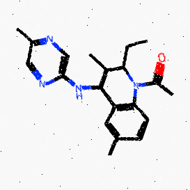 CCC1C(C)C(Nc2cnc(C)cn2)c2cc(C)ccc2N1C(C)=O